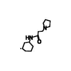 O=C(CCN1CCCC1)NC1C[CH]CCC1